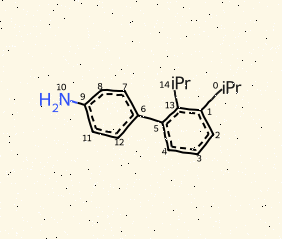 CC(C)c1cccc(-c2ccc(N)cc2)c1C(C)C